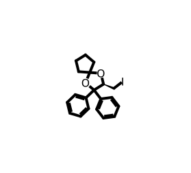 IC[C@@H]1OC2(CCCC2)OC1(c1ccccc1)c1ccccc1